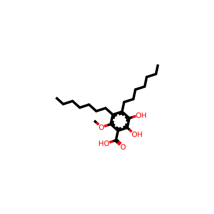 CCCCCCCc1c(O)c(O)c(C(=O)O)c(OC)c1CCCCCCC